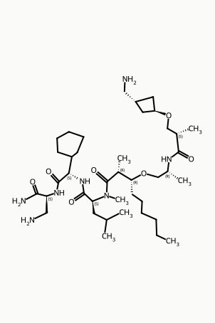 CCCCCC[C@@H](OC[C@@H](C)NC(=O)[C@@H](C)CO[C@H]1C[C@H](CN)C1)[C@@H](C)C(=O)N(C)[C@@H](CC(C)C)C(=O)N[C@H](C(=O)N[C@@H](CN)C(N)=O)C1CCCCC1